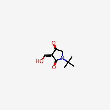 CC(C)(C)N1CC(=O)/C(=C/O)C1=O